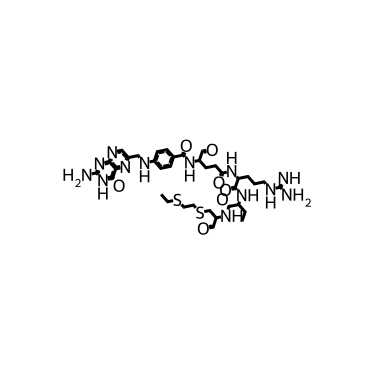 CCSCCSCC(C=O)NC(=O)C(CC)NC(=O)C(CCCNC(=N)N)NC(=O)CCC(C=O)NC(=O)c1ccc(NCc2cnc3nc(N)[nH]c(=O)c3n2)cc1